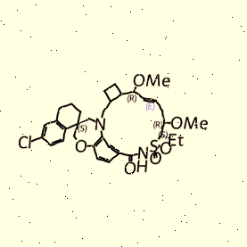 CC[C@H]1[C@H](OC)C/C=C/[C@H](OC)C2CCC2CN2C[C@@]3(CCCc4cc(Cl)ccc43)COc3ccc(cc32)C(=O)NS1(=O)=O